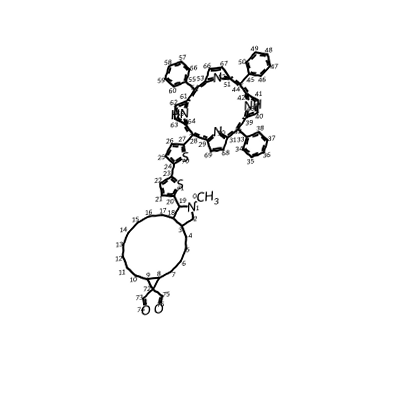 CN1CC2CCCCC3C(CCCCCCCCC2C1c1ccc(-c2ccc(-c4c5nc(c(-c6ccccc6)c6ccc([nH]6)c(-c6ccccc6)c6nc(c(-c7ccccc7)c7ccc4[nH]7)C=C6)C=C5)s2)s1)C3(C=O)C=O